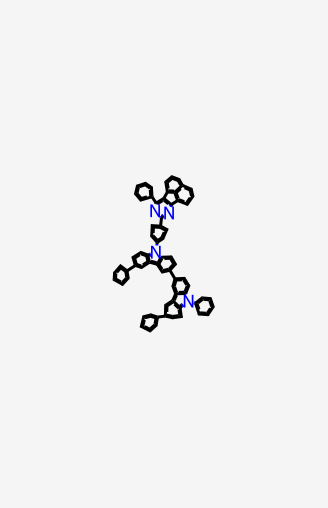 c1ccc(-c2ccc3c(c2)c2cc(-c4ccc5c(c4)c4cc(-c6ccccc6)ccc4n5-c4ccc(-c5nc(-c6ccccc6)c6c(n5)-c5cccc7cccc-6c57)cc4)ccc2n3-c2ccccc2)cc1